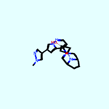 Cn1cc(-c2cc3c(N4CC5CCC(C4)N5[C@H]4C[C@@H](O)C4)ccnn3c2)cn1